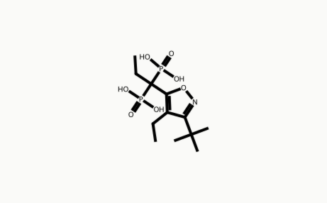 CCc1c(C(C)(C)C)noc1C(CC)(P(=O)(O)O)P(=O)(O)O